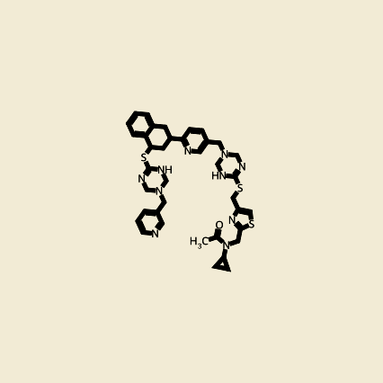 CC(=O)N(Cc1nc(CSC2=NCN(Cc3ccc(C4Cc5ccccc5C(SC5=NCN(Cc6cccnc6)CN5)C4)nc3)CN2)cs1)C1CC1